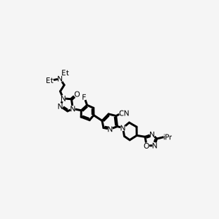 CCN(CC)CCn1ncn(-c2ccc(-c3cnc(N4CCC(c5nc(C(C)C)no5)CC4)c(C#N)c3)cc2F)c1=O